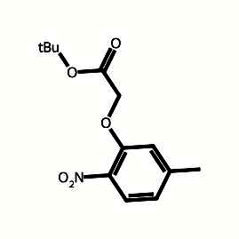 Cc1ccc([N+](=O)[O-])c(OCC(=O)OC(C)(C)C)c1